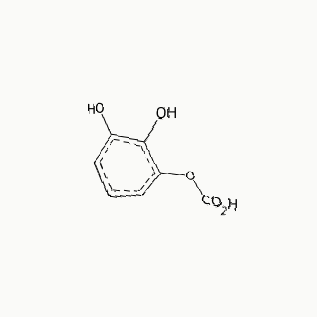 O=C(O)Oc1cccc(O)c1O